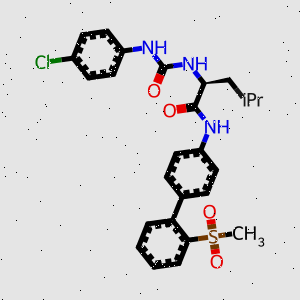 CC(C)C[C@H](NC(=O)Nc1ccc(Cl)cc1)C(=O)Nc1ccc(-c2ccccc2S(C)(=O)=O)cc1